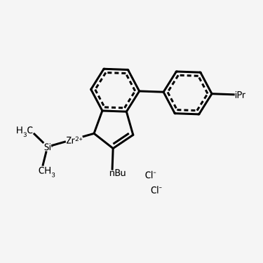 CCCCC1=Cc2c(-c3ccc(C(C)C)cc3)cccc2[CH]1[Zr+2][Si](C)C.[Cl-].[Cl-]